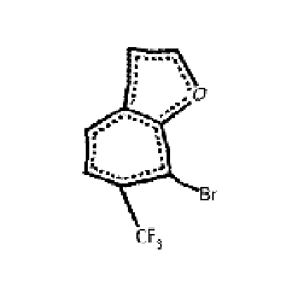 FC(F)(F)c1ccc2ccoc2c1Br